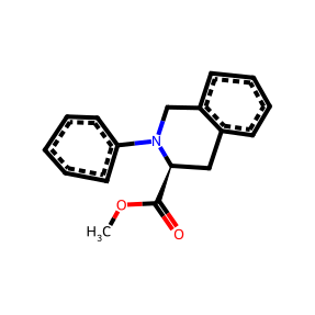 COC(=O)[C@@H]1Cc2ccccc2CN1c1ccccc1